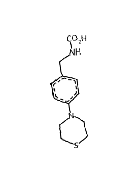 O=C(O)NCc1ccc(N2CCSCC2)cc1